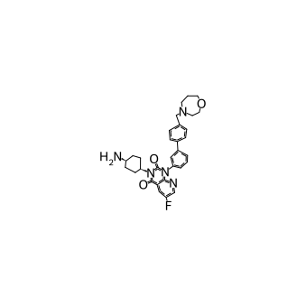 N[C@H]1CC[C@@H](n2c(=O)c3cc(F)cnc3n(-c3cccc(-c4ccc(CN5CCCOCC5)cc4)c3)c2=O)CC1